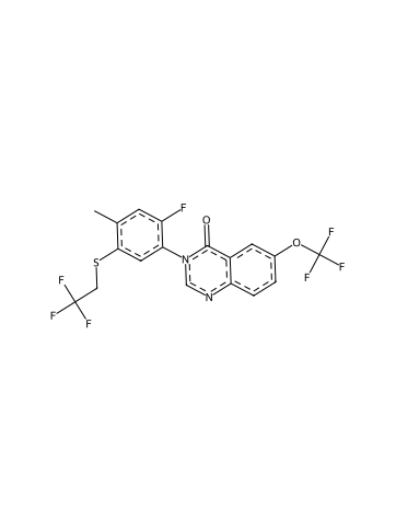 Cc1cc(F)c(-n2cnc3ccc(OC(F)(F)F)cc3c2=O)cc1SCC(F)(F)F